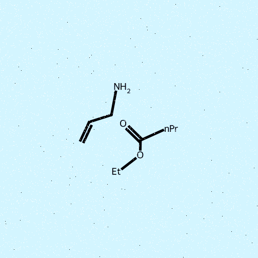 C=CCN.CCCC(=O)OCC